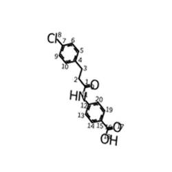 O=C(CCc1ccc(Cl)cc1)Nc1ccc(C(=O)O)cc1